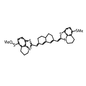 COSc1ccc2sc(/C=C3/C=C4C=C(/C=C5\Sc6ccc(SC)c7c6N5CCC7)CCC4CC3)[n+]3c2c1CCC3